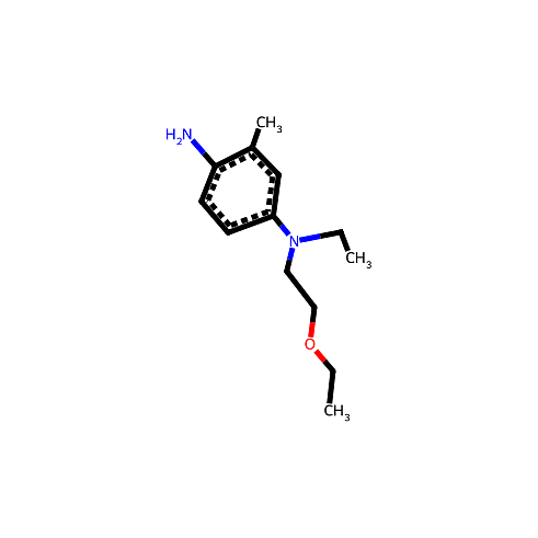 CCOCCN(CC)c1ccc(N)c(C)c1